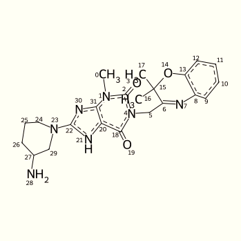 Cn1c(=O)n(CC2=Nc3ccccc3OC2(C)C)c(=O)c2[nH]c(N3CCCC(N)C3)nc21